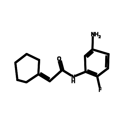 Nc1ccc(F)c(NC(=O)C=C2CCCCC2)c1